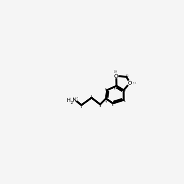 NCCCc1ccc2c(c1)OCO2